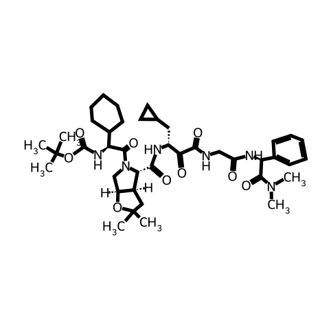 CN(C)C(=O)[C@@H](NC(=O)CNC(=O)C(=O)[C@@H](CC1CC1)NC(=O)[C@@H]1[C@H]2CC(C)(C)O[C@H]2CN1C(=O)[C@@H](NC(=O)OC(C)(C)C)C1CCCCC1)c1ccccc1